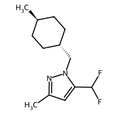 Cc1cc(C(F)F)n(C[C@H]2CC[C@H](C)CC2)n1